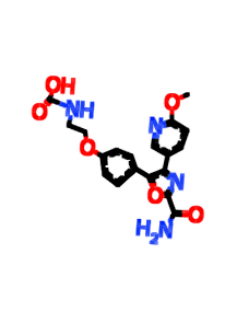 COc1ccc(-c2nc(C(N)=O)oc2-c2ccc(OCCNC(=O)O)cc2)cn1